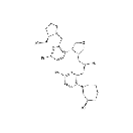 CC(C)c1ccc([C@@H]2COCC2CN(C)Cc2nc(C(C)C)ccc2N2CCOC[C@@H](O)C2)c(CN2CCC[C@@H]2CO)n1